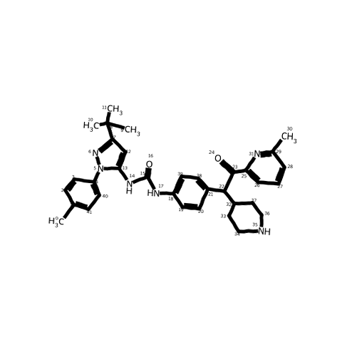 Cc1ccc(-n2nc(C(C)(C)C)cc2NC(=O)Nc2ccc(C(C(=O)c3cccc(C)n3)C3CCNCC3)cc2)cc1